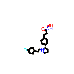 O=C(C=Cc1ccc([C@@H]2CCCN2CCc2ccc(F)cc2)cc1)NO